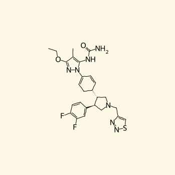 CCOc1nn(C2=CCC([C@@H]3CN(Cc4csnn4)C[C@H]3c3ccc(F)c(F)c3)C=C2)c(NC(N)=O)c1C